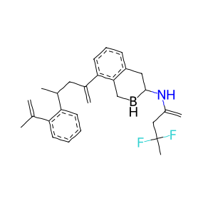 C=C(CC(C)(F)F)NC1BCc2c(cccc2C(=C)CC(C)c2ccccc2C(=C)C)C1